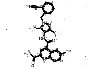 Cc1nn(Cc2ccccc2C#N)c(C)c1NC(=O)c1cc(C(N)=O)nc2ccc(F)cc12